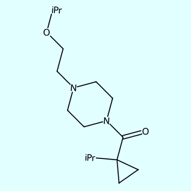 CC(C)OCCN1CCN(C(=O)C2(C(C)C)CC2)CC1